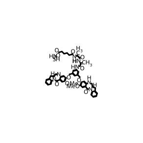 COc1cc2c(cc1OCc1cc(COc3cc4c(cc3OC)C(=O)N3c5ccccc5C[C@H]3CN4)cc(NC(=O)[C@H](C)NC(=O)[C@H](C)NC(=O)CCCCC(=O)ONS)c1)N=C[C@@H]1Cc3ccccc3N1C2=O